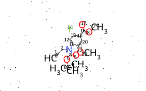 C#CCN(C(=O)OC(C)(C)C)c1cc(F)c(C(=O)OC)cc1OC